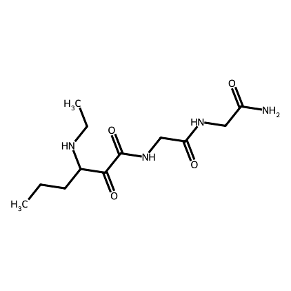 CCCC(NCC)C(=O)C(=O)NCC(=O)NCC(N)=O